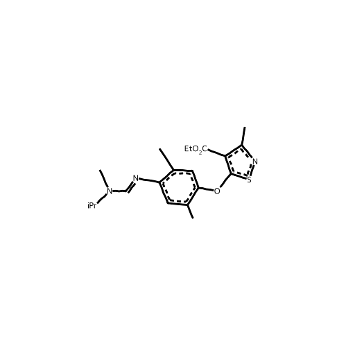 CCOC(=O)c1c(C)nsc1Oc1cc(C)c(N=CN(C)C(C)C)cc1C